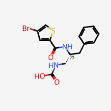 O=C(O)NC[C@@H](Cc1ccccc1)NC(=O)c1cc(Br)cs1